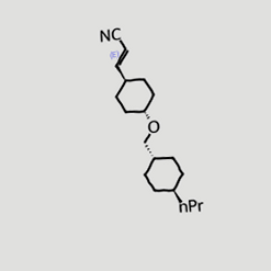 CCC[C@H]1CC[C@H](CO[C@H]2CC[C@H](/C=C/C#N)CC2)CC1